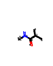 CC(C)C(=O)[NH][Sc]